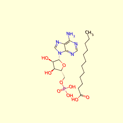 CCCCCCCCCCCC(=O)O.Nc1ncnc2c1ncn2[C@@H]1O[C@H](COP(=O)(O)O)[C@@H](O)[C@H]1O